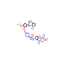 O=C1CCC(Nc2cccc(NC(=O)CN3CCN(CCOc4cc(C(=O)Nc5c(Cl)cncc5Cl)ccc4OC(F)F)CC3)c2)C(=O)N1